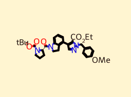 CCOC(=O)c1c(-c2cccc3c2CCN3C(=O)[C@@H]2CCCN2C(=O)OC(C)(C)C)cnn1Cc1ccc(OC)cc1